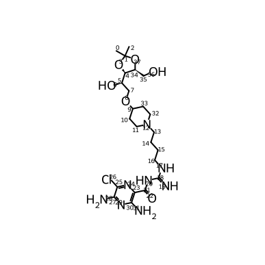 CC1(C)O[C@H]([C@H](O)COC2CCN(CCCCNC(=N)NC(=O)c3nc(Cl)c(N)nc3N)CC2)[C@H](CO)O1